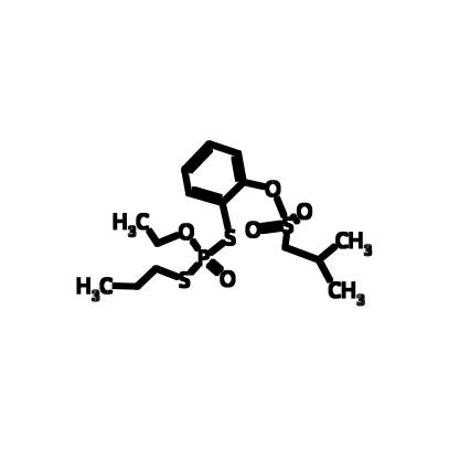 CCCSP(=O)(OCC)Sc1ccccc1OS(=O)(=O)CC(C)C